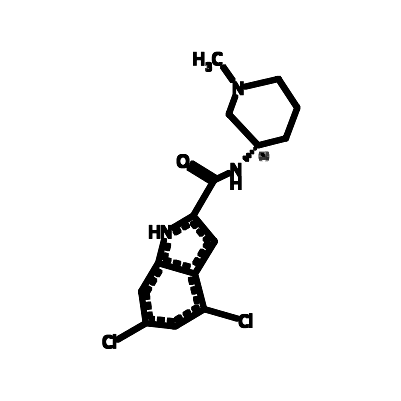 CN1CCC[C@H](NC(=O)c2cc3c(Cl)cc(Cl)cc3[nH]2)C1